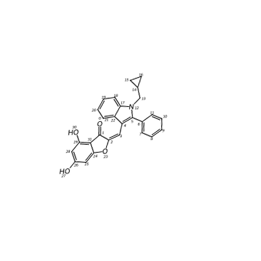 O=C1C(=Cc2c(-c3ccccc3)n(CC3CC3)c3ccccc23)Oc2cc(O)cc(O)c21